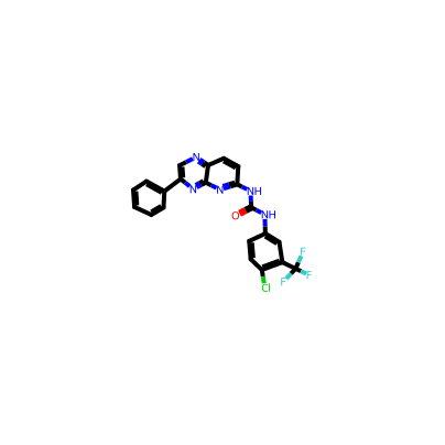 O=C(Nc1ccc(Cl)c(C(F)(F)F)c1)Nc1ccc2ncc(-c3ccccc3)nc2n1